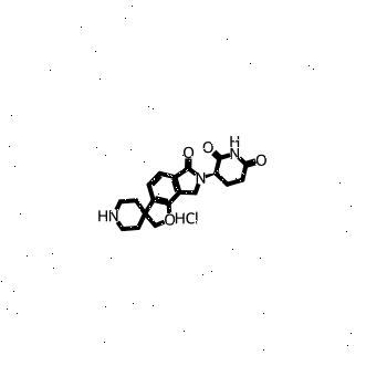 Cl.O=C1CC[C@@H](N2Cc3c(ccc4c3OCC43CCNCC3)C2=O)C(=O)N1